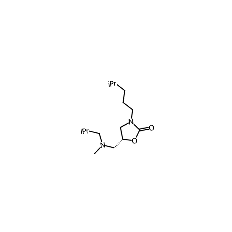 CC(C)CCCN1C[C@@H](CN(C)CC(C)C)OC1=O